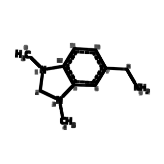 CN1CN(C)c2cc(CN)ccc21